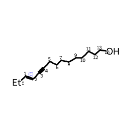 CC/C=C/C#CCCCCCCCCCO